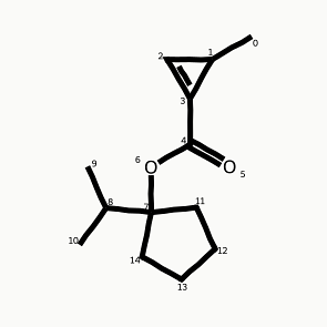 CC1C=C1C(=O)OC1(C(C)C)CCCC1